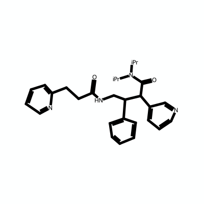 CC(C)N(C(=O)C(c1cccnc1)C(CNC(=O)CCc1ccccn1)c1ccccc1)C(C)C